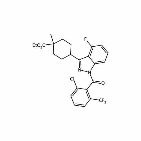 CCOC(=O)C1(C)CCC(c2nn(C(=O)c3c(Cl)cccc3C(F)(F)F)c3cccc(F)c23)CC1